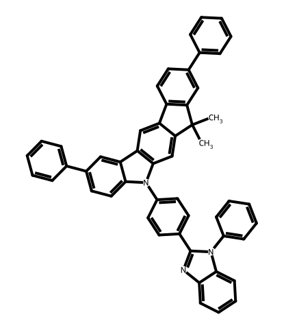 CC1(C)c2cc(-c3ccccc3)ccc2-c2cc3c4cc(-c5ccccc5)ccc4n(-c4ccc(-c5nc6ccccc6n5-c5ccccc5)cc4)c3cc21